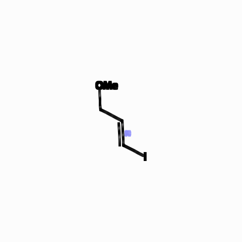 COC/C=C/I